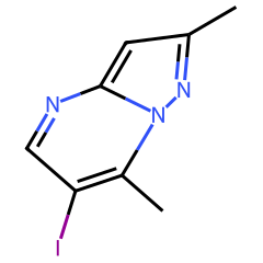 Cc1cc2ncc(I)c(C)n2n1